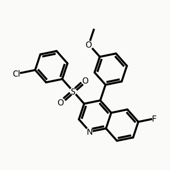 COc1cccc(-c2c(S(=O)(=O)c3cccc(Cl)c3)cnc3ccc(F)cc23)c1